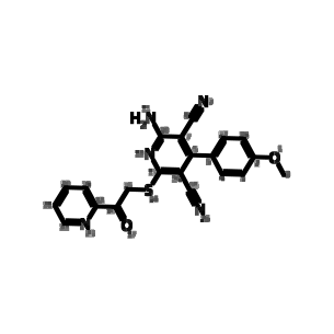 COc1ccc(-c2c(C#N)c(N)nc(SCC(=O)c3ccccn3)c2C#N)cc1